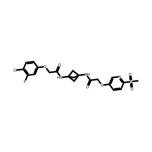 CS(=O)(=O)c1ccc(OCC(=O)NC23CC(NC(=O)COc4ccc(Cl)c(F)c4)(C2)C3)cn1